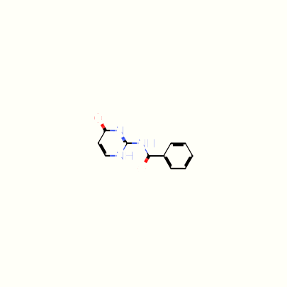 O=C(Nc1nc(=O)cc[nH]1)c1ccccc1